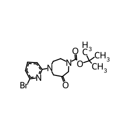 CC(C)(C)OC(=O)N1CCN(c2cccc(Br)n2)CC(=O)C1